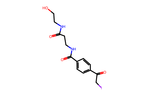 O=C(CCNC(=O)c1ccc(C(=O)CI)cc1)NCCO